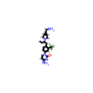 CCC(Cc1ccc(-n2ccc(N)nc2=O)cc1C(F)(F)F)N1CC2C(CN)C2C1